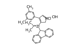 C[C](C)=[Zr]([C]1=C(c2cc(C)cc(C)c2)C=CC1)[CH]1c2ccccc2-c2ccccc21.Cl.Cl